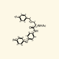 CC(=O)N[C@@H](COCc1ccc(F)cc1)C(=O)Nc1ccc(Oc2ccc(F)cc2)cc1